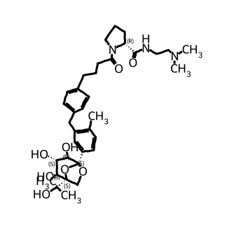 Cc1ccc([C@]23OC[C@](C(C)(C)O)(O2)[C@@H](O)[C@H](O)[C@H]3O)cc1Cc1ccc(CCCC(=O)N2CCC[C@@H]2C(=O)NCCN(C)C)cc1